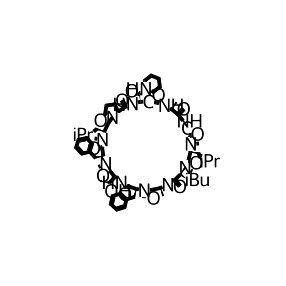 CC[C@H](C)[C@H]1C(=O)N(C)[C@@H](C)C(=O)N(C)[C@@H](Cc2ccccc2)C(=O)N[C@@H]([C@@H](C)O)C(=O)N(C)[C@@H](Cc2ccccc2)C(=O)N(C)[C@@H](CC(C)C)C(=O)N2CCC[C@H]2C(=O)N[C@H](C(=O)N2CCCCC2)CC(=O)N[C@@H](C)C(=O)NCC(=O)N(C)[C@@H](CC(C)C)C(=O)N1C